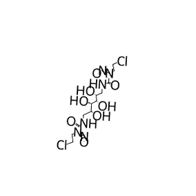 O=NN(CCCl)C(=O)NC[C@@H](O)[C@H](O)[C@H](O)[C@@H](O)CNC(=O)N(CCCl)N=O